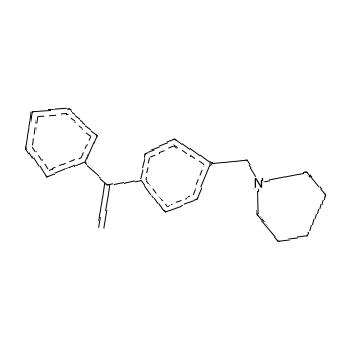 C=C(c1ccccc1)c1ccc(CN2CCCCC2)cc1